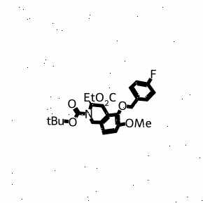 CCOC(=O)[C@@H]1Cc2c(ccc(OC)c2OCc2ccc(F)cc2)CN1C(=O)OC(C)(C)C